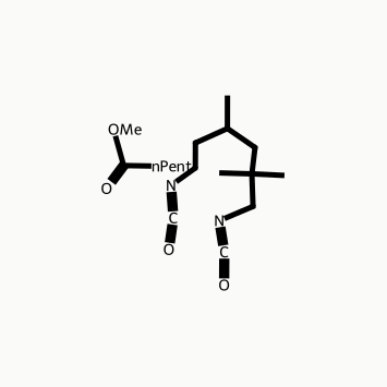 CC(CCN=C=O)CC(C)(C)CN=C=O.CCCCCC(=O)OC